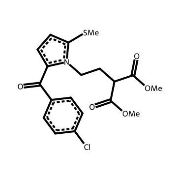 COC(=O)C(CCn1c(SC)ccc1C(=O)c1ccc(Cl)cc1)C(=O)OC